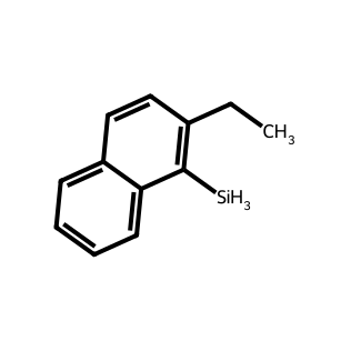 CCc1ccc2ccccc2c1[SiH3]